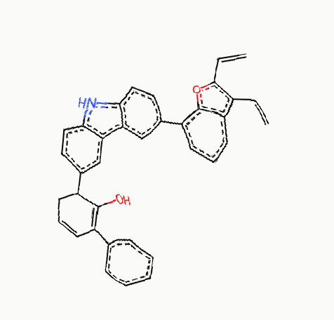 C=Cc1oc2c(-c3ccc4[nH]c5ccc(C6CC=CC(c7ccccc7)=C6O)cc5c4c3)cccc2c1C=C